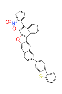 O=[N+]([O-])c1ccccc1-c1cc2oc3cc4ccc(-c5ccc6c(c5)sc5ccccc56)cc4cc3c2c2ccccc12